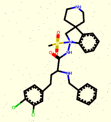 CS(=O)(=O)[N+]1(NC(=O)C(CCc2ccc(Cl)c(Cl)c2)NCc2ccccc2)CC2(CCNCC2)c2ccccc21